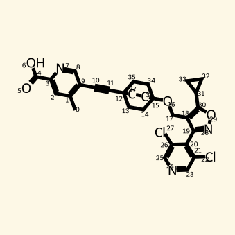 Cc1cc(C(=O)O)ncc1C#CC12CCC(OCc3c(-c4c(Cl)cncc4Cl)noc3C3CC3)(CC1)CC2